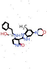 Cc1cc(N2CCOCC2)cc2[nH]c(-c3c(N[C@H](CO)Cc4ccccc4)cc[nH]c3=O)nc12